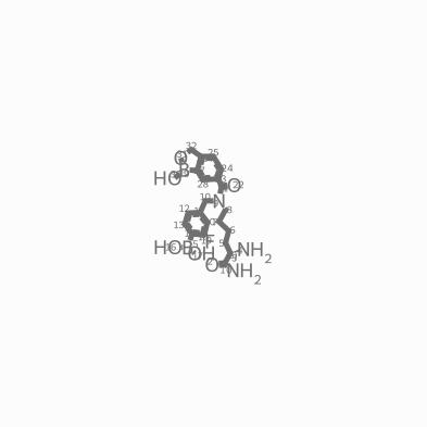 NC(=O)[C@@H](N)CCCCN(Cc1ccc(B(O)O)c(F)c1)C(=O)c1ccc2c(c1)B(O)OC2